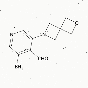 Bc1cncc(N2CC3(COC3)C2)c1C=O